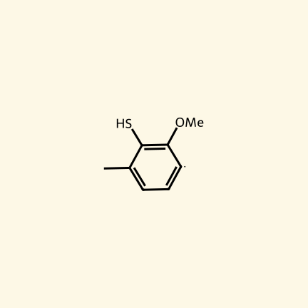 COc1[c]ccc(C)c1S